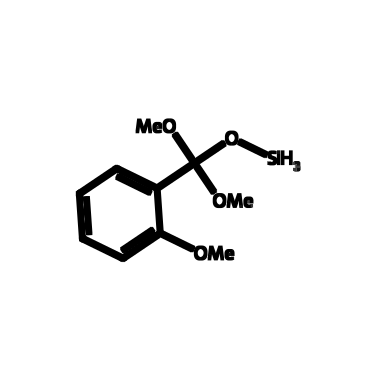 COc1ccccc1C(OC)(OC)O[SiH3]